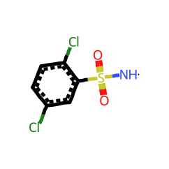 [NH]S(=O)(=O)c1cc(Cl)ccc1Cl